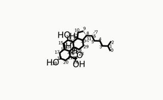 CC(C)CCC[C@@H](C)[C@H]1CC[C@H]2[C@@H]3[C@H](O)C=C4C[C@@H](O)CC(C(=O)O)[C@]4(C)[C@H]3CC[C@]12C